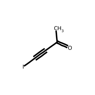 CC(=O)C#CI